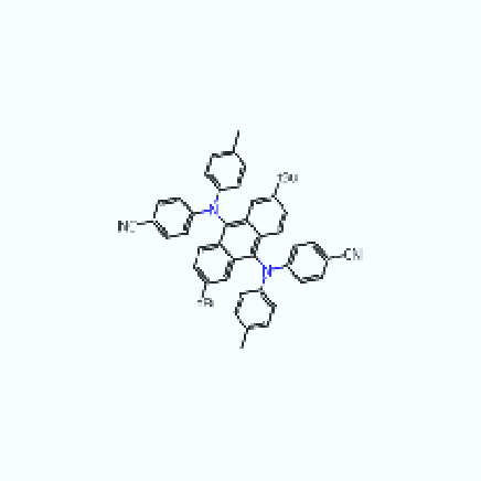 Cc1ccc(N(c2ccc(C#N)cc2)c2c3ccc(C(C)(C)C)cc3c(N(c3ccc(C)cc3)c3ccc(C#N)cc3)c3ccc(C(C)(C)C)cc23)cc1